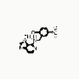 Cn1cnc2ccnc(NCc3cc([N+](=O)[O-])ccc3Cl)c21